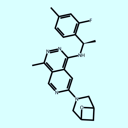 Cc1ccc([C@@H](C)Nc2nnc(C)c3cnc(N4CC5CC(C4)O5)cc23)c(F)c1